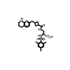 Cc1cc(C)c(S(=O)(=O)N[C@@H](CNC(=O)C2CC(Cc3ccc4c(n3)NCCC4)C2)C(=O)O)c(C)c1